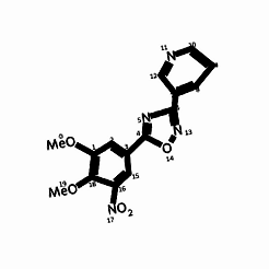 COc1cc(-c2nc(-c3cccnc3)no2)cc([N+](=O)[O-])c1OC